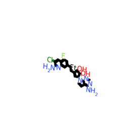 CCC1(O)C(CCc2cc(F)c3cc(Cl)c(N)nc3c2)=CC(n2ccc3c(N)ncnc32)[C@H]1O